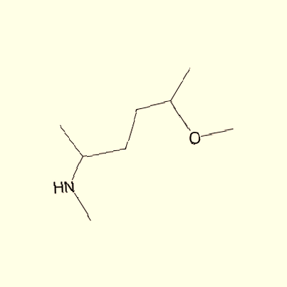 CNC(C)CCC(C)OC